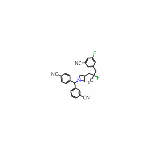 CC(F)(Cc1cc(F)cc(C#N)c1)CC1CN(C(c2ccc(C#N)cc2)c2cccc(C#N)c2)C1